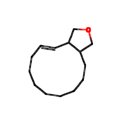 C1=C/C2COCC2CCCCCCCC/1